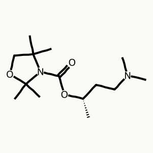 C[C@@H](CCN(C)C)OC(=O)N1C(C)(C)COC1(C)C